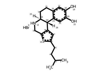 Br.CC(C)CCc1cc2c(s1)CN[C@H]1CCc3cc(O)c(O)cc3[C@H]21